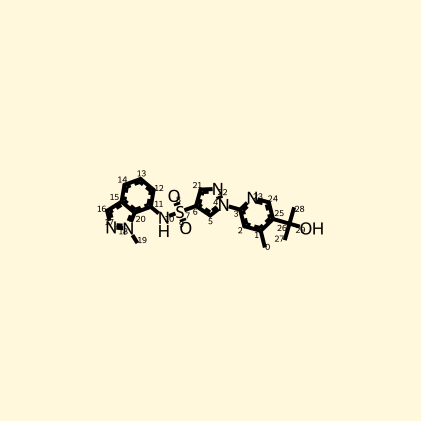 Cc1cc(-n2cc(S(=O)(=O)Nc3cccc4cnn(C)c34)cn2)ncc1C(C)(C)O